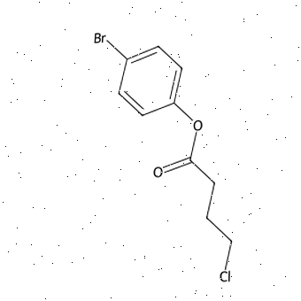 O=C(CCCCl)Oc1ccc(Br)cc1